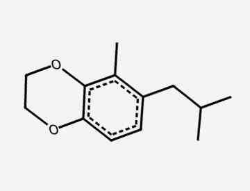 Cc1c(CC(C)C)ccc2c1OCCO2